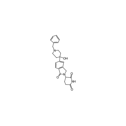 O=C1CCC(N2Cc3cc(C4(O)CCN(Cc5ccccc5)CC4)ccc3C2=O)C(=O)N1